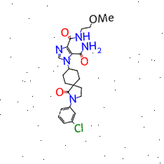 COCCNC(=O)c1ncn(C2CCC3(CC2)CCN(c2cccc(Cl)c2)C3=O)c1C(N)=O